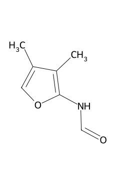 Cc1coc(NC=O)c1C